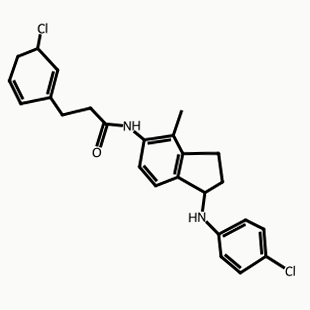 Cc1c(NC(=O)CCC2=CC(Cl)CC=C2)ccc2c1CCC2Nc1ccc(Cl)cc1